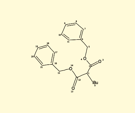 CCC(C)C(C(=O)OCc1ccccc1)C(=O)OCc1ccccc1